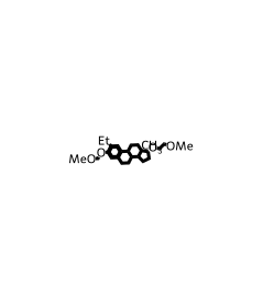 CCc1cc2c(cc1OCOC)CCC1C2CCC2(C)C(OCCOC)CCC12